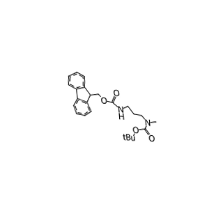 CN(CCCNC(=O)OCC1c2ccccc2-c2ccccc21)C(=O)OC(C)(C)C